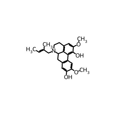 C/C=C(\C)CN1CCc2cc(OC)c(O)c3c2C1Cc1cc(O)c(OC)cc1-3